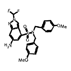 COc1ccc(CN(Cc2ccc(OC)cc2)S(=O)(=O)c2cc(N)cc3nn(C(F)F)cc23)cc1